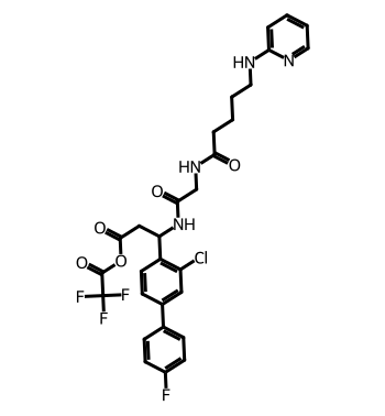 O=C(CCCCNc1ccccn1)NCC(=O)NC(CC(=O)OC(=O)C(F)(F)F)c1ccc(-c2ccc(F)cc2)cc1Cl